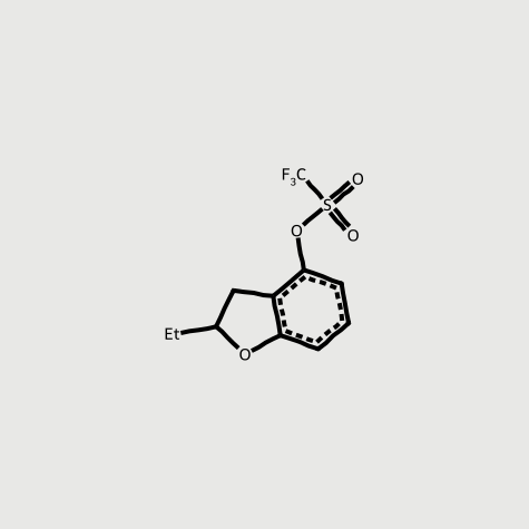 CCC1Cc2c(cccc2OS(=O)(=O)C(F)(F)F)O1